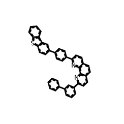 c1ccc(-c2cccc(-c3ccc4ccc5ccc(-c6ccc(-c7ccc8sc9ccccc9c8c7)cc6)nc5c4n3)c2)cc1